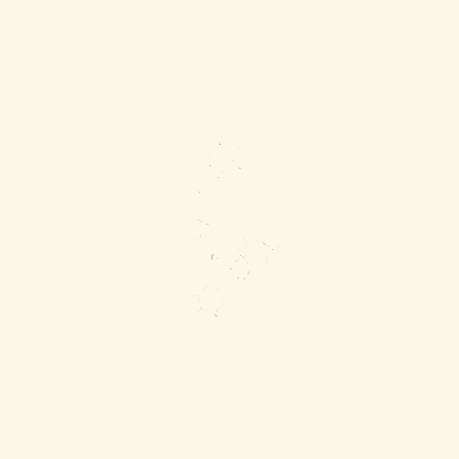 O=C(CNc1c(-c2ccccc2F)nc2cnccn12)N1CCN(Cc2c(F)cccc2Cl)CC1